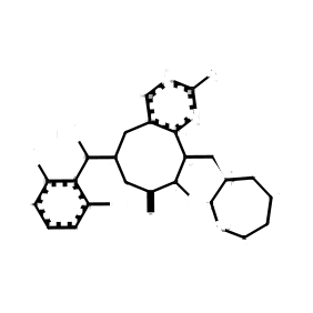 Cc1cccc(F)c1C(C)C1CC(=O)C(C)C(C[C@H]2CCCCNC2)c2nc(N)ncc2C1